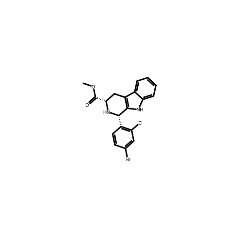 COC(=O)[C@@H]1Cc2c([nH]c3ccccc23)[C@H](c2ccc(Br)cc2Cl)N1